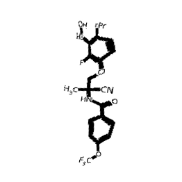 CCCc1ccc(OCC(C)(C#N)NC(=O)c2ccc(OC(F)(F)F)cc2)c(F)c1BO